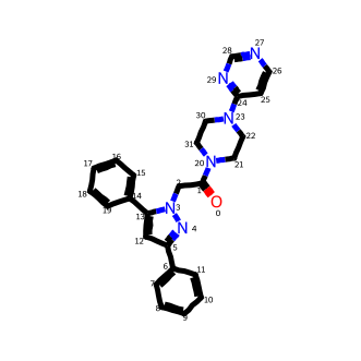 O=C(Cn1nc(-c2ccccc2)cc1-c1ccccc1)N1CCN(c2ccncn2)CC1